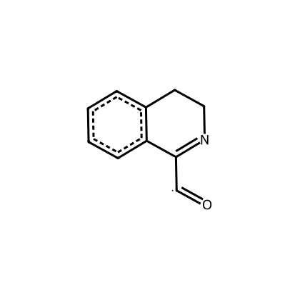 O=[C]C1=NCCc2ccccc21